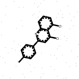 [CH2]c1ccc(-c2cc(Cl)c3c(Cl)cccc3n2)cc1